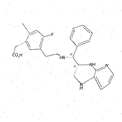 Cc1cc(F)c(CCN[C@H](c2ccccc2)[C@H]2CNc3cccnc3N2)cc1CC(=O)O